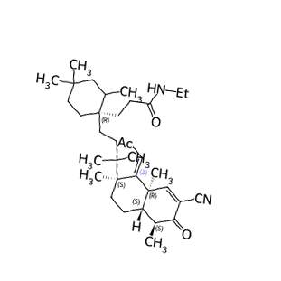 CCNC(=O)CC[C@]1(CCC(C)(C)[C@]2(C)CC[C@H]3[C@H](C)C(=O)C(C#N)=C[C@]3(C)/C2=C/C(C)=O)CCC(C)(C)CC1C